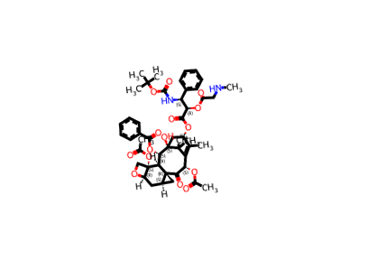 CNCC(=O)O[C@@H](C(=O)O[C@H]1C[C@@]2(O)[C@@H](OC(=O)c3ccccc3)[C@@H]3[C@]4(OC(C)=O)CO[C@@H]4C[C@@H]4C[C@@]43C(=O)[C@@H](OC(C)=O)C(=C1C)C2(C)C)[C@@H](NC(=O)OC(C)(C)C)c1ccccc1